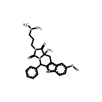 CCOc1ccc2[nH]c3c(c2c1)CC1(C)C(=O)N(CCCN(C)C)C(=O)N1C3c1ccccc1